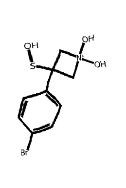 OSC1(c2ccc(Br)cc2)C[N+](O)(O)C1